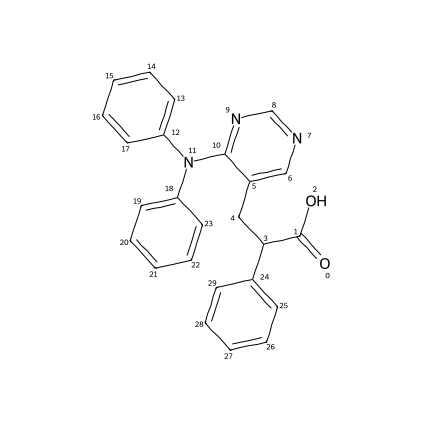 O=C(O)C(Cc1cncnc1N(c1ccccc1)c1ccccc1)c1ccccc1